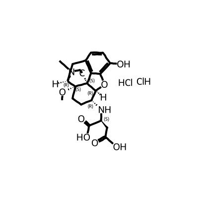 CO[C@@]12CC[C@@H](N[C@@H](CC(=O)O)C(=O)O)[C@@H]3Oc4c(O)ccc5c4[C@@]31CCN(C)[C@@H]2C5.Cl.Cl